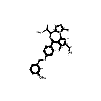 COc1cccc(CNc2ccc(C3=NC([C@H](C)C(=O)O)c4nnc(C)n4-c4sc(CO)c(C)c43)cc2)c1